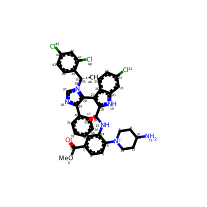 COC(=O)c1ccc(N2CCC(N)CC2)c(NC(=O)c2[nH]c3cc(Cl)ccc3c2-c2c(-c3ccccc3)ncn2[C@@H](C)c2ccc(Cl)cc2Cl)c1